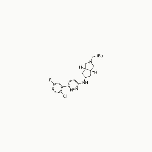 CCC(C)CN1C[C@H]2C[C@H](Nc3ccc(-c4cc(F)ccc4Cl)nn3)C[C@H]2C1